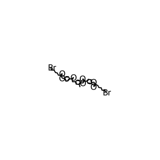 Cc1cc(CC(=O)c2ccc(OC(=O)CCCCCBr)cc2)ccc1OC(=O)c1ccc(OC(=O)CCCCCBr)cc1